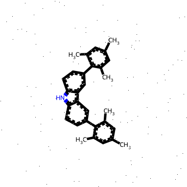 Cc1cc(C)c(-c2ccc3[nH]c4ccc(-c5c(C)cc(C)cc5C)cc4c3c2)c(C)c1